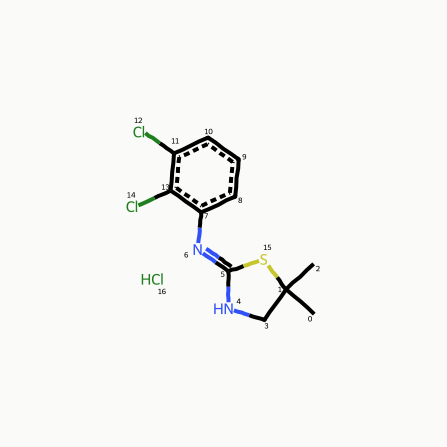 CC1(C)CN/C(=N/c2cccc(Cl)c2Cl)S1.Cl